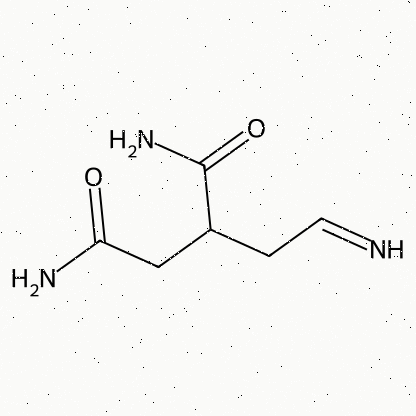 N=CCC(CC(N)=O)C(N)=O